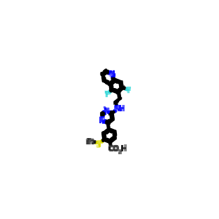 CCSc1cc(-c2cc(NCCc3c(F)cc4ncccc4c3F)ncn2)ccc1C(=O)O